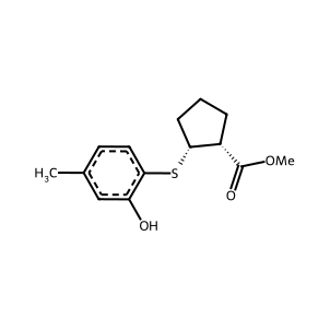 COC(=O)[C@H]1CCC[C@H]1Sc1ccc(C)cc1O